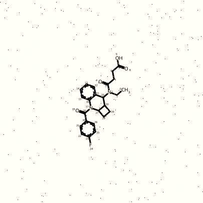 CCN(C(=O)CCC(=O)O)C1c2ccccc2N(C(=O)c2ccc(F)cc2)C2CCC12